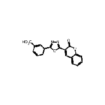 O=C(O)C1=CC(c2nnc(-c3cc4ccccc4oc3=O)o2)CC=C1